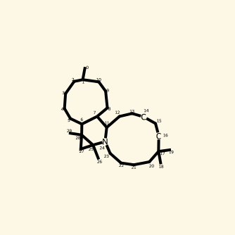 CC1CCCCC2C(CCC1)C1CCCCCC(C)(C)CCCCN1C1(C)CC21C